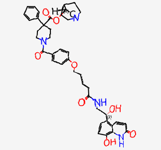 O=C(CCCCOc1ccc(C(=O)N2CCC(C(=O)O[C@H]3CN4CCC3CC4)(c3ccccc3)CC2)cc1)NC[C@H](O)c1ccc(O)c2[nH]c(=O)ccc12